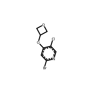 Clc1cnc(Br)cc1OC1COC1